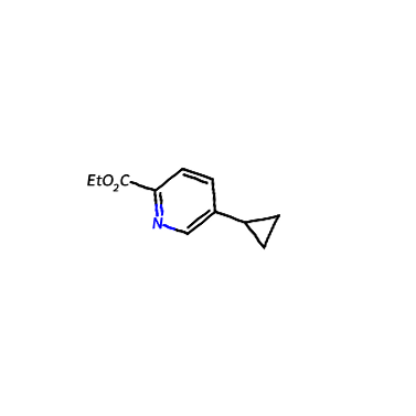 CCOC(=O)c1ccc(C2CC2)cn1